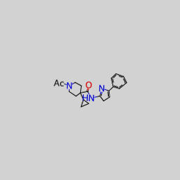 CC(=O)N1CCC(C(=O)NC2=NC(c3ccccc3)=CC2)(C2CC2)CC1